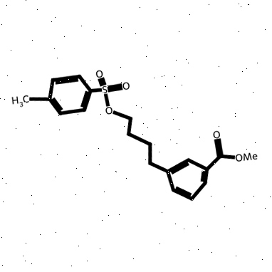 COC(=O)c1cccc(CCCCOS(=O)(=O)c2ccc(C)cc2)c1